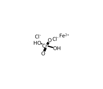 [Cl-].[Cl-].[Fe+2].[O]=[Cr](=[O])([OH])[OH]